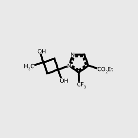 CCOC(=O)c1cnn(C2(O)CC(C)(O)C2)c1C(F)(F)F